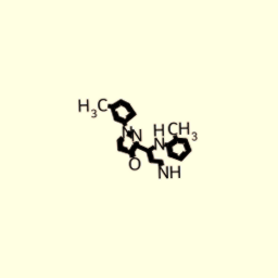 Cc1cccc(-n2ccc(=O)c(/C(=C/C=N)Nc3ccccc3C)n2)c1